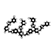 O=c1ccc(-c2noc(-c3cccc(Cl)c3)n2)nn1Cc1nc2cc(-c3cc(=O)n(Cc4nc5cc(-c6cc(=O)n(Cc7cnc(-c8cccnc8)s7)nc6-c6noc(-c7cccc(Cl)c7)n6)ccc5s4)nc3-c3noc(-c4cncc(Cl)c4)n3)ccc2s1